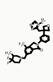 CC1CN(Cc2cc3c(c(C(F)(F)F)c2)CN(c2cccc(C4(Cc5nncn5C)COC4)c2)C3=O)CCC1(F)F